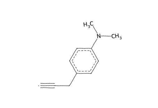 [C]#CCc1ccc(N(C)C)cc1